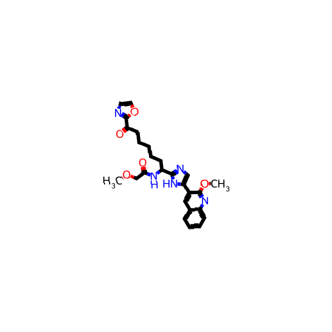 COCC(=O)NC(CCCCCC(=O)c1ncco1)c1ncc(-c2cc3ccccc3nc2OC)[nH]1